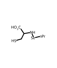 CCC[Se]NC(CS)C(=O)O